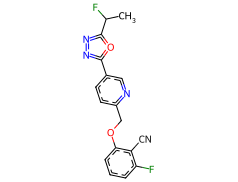 CC(F)c1nnc(-c2ccc(COc3cccc(F)c3C#N)nc2)o1